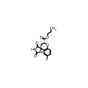 CCCOC(=O)[C@H]1C[C@]2(NC(=O)NC2=O)c2cc(F)ccc2O1